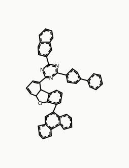 C1=CC2Oc3c(-c4cc5ccccc5c5ccccc45)cccc3C2C(c2nc(-c3ccc(-c4ccccc4)cc3)nc(-c3ccc4ccccc4c3)n2)=C1